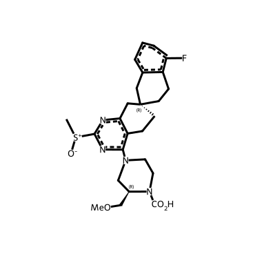 COC[C@H]1CN(c2nc([S+](C)[O-])nc3c2CC[C@]2(CCc4c(F)cccc4C2)C3)CCN1C(=O)O